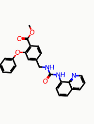 COC(=O)c1ccc(CNC(=O)Nc2cccc3cccnc23)cc1Oc1ccccc1